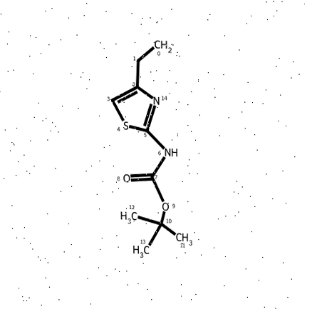 [CH2]Cc1csc(NC(=O)OC(C)(C)C)n1